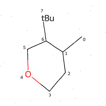 CC1CCOCC1C(C)(C)C